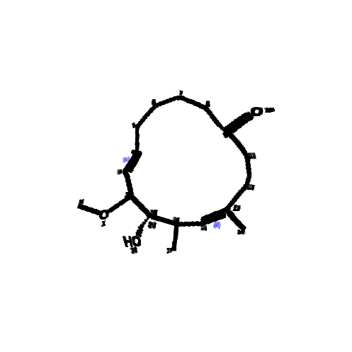 COC1/C=C/CCCCC(=O)CC/C(C)=C\C(C)[C@@H]1O